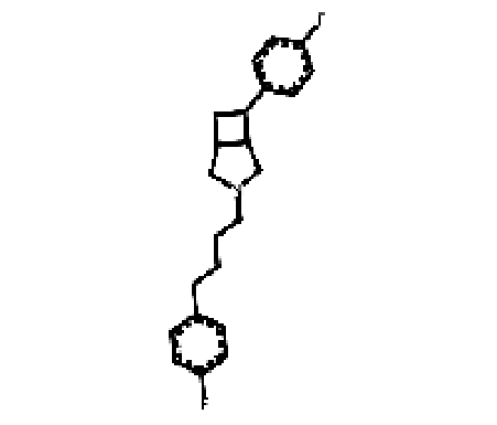 Fc1ccc(CCCCN2CC3CC(c4ccc(F)cc4)C3C2)cc1